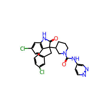 O=C(Nc1ccnnc1)N1CCCC(C2(Cc3cccc(Cl)c3)C(=O)Nc3cc(Cl)ccc32)C1